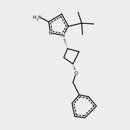 CC(C)(C)c1cc(N)nn1[C@H]1C[C@@H](OCc2ccccc2)C1